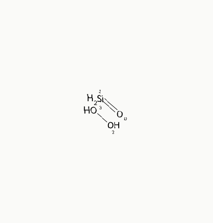 O=[SiH2].OO